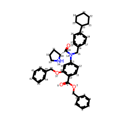 O=C(OCc1ccccc1)c1ccc(N(Cc2ccc(C3CCCCC3)cc2)C(=O)[C@H]2CCCN2)cc1OCc1ccccc1